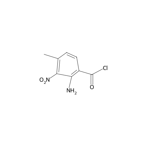 Cc1ccc(C(=O)Cl)c(N)c1[N+](=O)[O-]